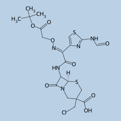 CC(C)(C)OC(=O)CON=C(C(=O)NC1C(=O)N2CC(CCl)(C(=O)O)CS[C@H]12)c1csc(NC=O)n1